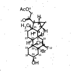 CC(=O)OCC(=O)[C@H]1[C@@H]2C[C@@H]2[C@H]2[C@@H]3C[C@@H](F)[C@@]4(Br)C[C@@H](O)CC[C@]4(C)[C@H]3CC[C@@]21C